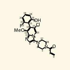 C=CC(=O)N1CCN(c2cnc3c(OC)c(-c4c(O)cccc4F)c(Cl)cn23)CC1